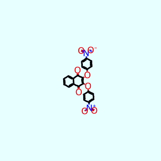 O=C1C(Oc2ccc([N+](=O)[O-])cc2)=C(Oc2ccc([N+](=O)[O-])cc2)C(=O)c2ccccc21